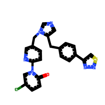 O=c1ccc(Cl)cn1-c1ccc(Cn2cncc2Cc2ccc(-c3csnn3)cc2)cn1